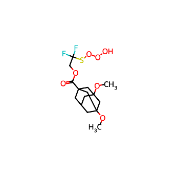 COC12CC3CC(OC)(C1)CC(C(=O)OCC(F)(F)SOOO)(C3)C2